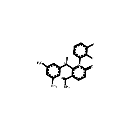 C[C@H](c1cc(N)cc(C(F)(F)F)c1)c1c(C(N)=O)ccc(=O)n1-c1cccc(F)c1F